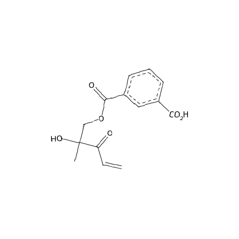 C=CC(=O)C(C)(O)COC(=O)c1cccc(C(=O)O)c1